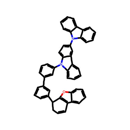 C1=Cc2c(oc3ccccc23)C(c2cccc(-c3cccc(-n4c5ccccc5c5cc(-n6c7ccccc7c7ccccc76)ccc54)c3)c2)C1